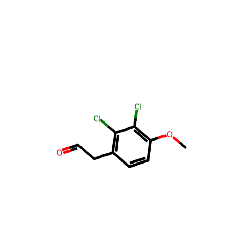 COc1ccc(CC=O)c(Cl)c1Cl